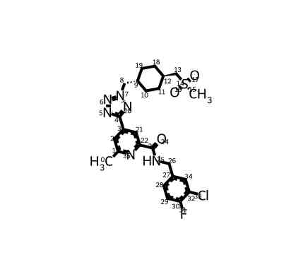 Cc1cc(-c2nnn(C[C@H]3CC[C@H](CS(C)(=O)=O)CC3)n2)cc(C(=O)NCc2ccc(F)c(Cl)c2)n1